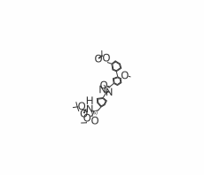 CCOC(=O)[C@H](Cc1ccc(-c2noc(-c3ccc(OC)c(-c4cccc(COC(C)=O)c4)c3)n2)cc1)NC(=O)OC(C)(C)C